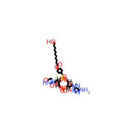 Nc1ncnc2c1ncn2[C@H]1C[C@@H]2OP(=O)(O)OC[C@H]3O[C@@H](n4ccc(=O)[nH]c4=O)[C@H](F)[C@@H]3OP(=O)(SCc3ccc(OC(=O)CCCCCCCCCCO)cc3)OC[C@H]2O1